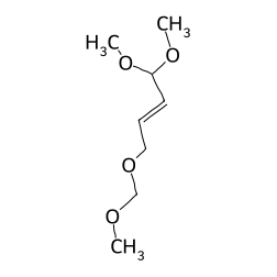 COCOCC=CC(OC)OC